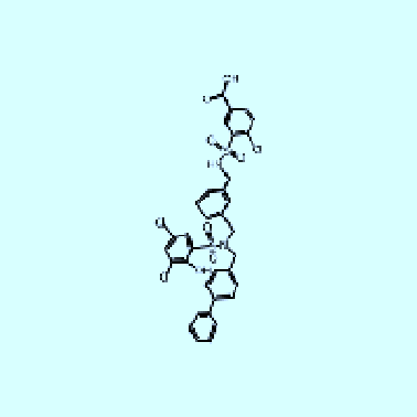 O=C(O)c1ccc(Cl)c(S(=O)(=O)NCc2cccc(CN(Cc3ccc(-c4ccccc4)cc3)S(=O)(=O)c3cc(Cl)cc(Cl)c3O)c2)c1